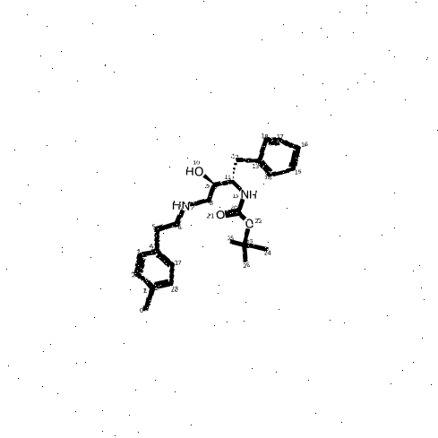 Cc1ccc(CCNC[C@@H](O)[C@H](Cc2ccccc2)NC(=O)OC(C)(C)C)cc1